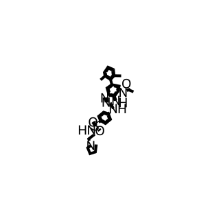 CC(=O)Nc1cc(-c2c(C)cccc2C)cc2nnc(Nc3ccc(S(=O)(=O)NCCN4CCCC4)cc3)nc12